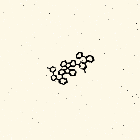 Cc1cncc(-c2cccc(-c3ccccc3-c3cccc4c3-c3ccccc3C43c4ccccc4-c4ccc(-c5nc(C)cc(-c6ccccc6-c6ccccc6)n5)cc43)c2)c1